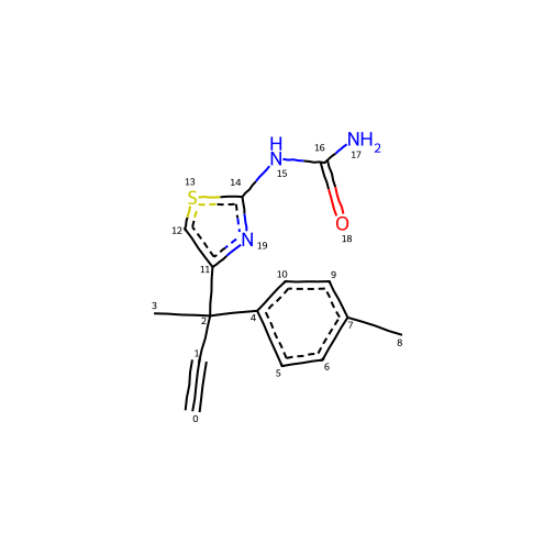 C#CC(C)(c1ccc(C)cc1)c1csc(NC(N)=O)n1